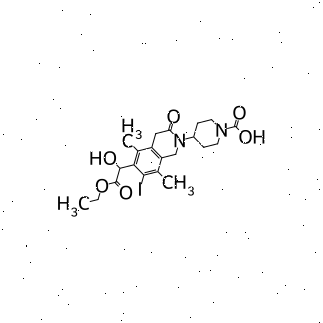 CCOC(=O)C(O)c1c(C)c2c(c(C)c1I)CN(C1CCN(C(=O)O)CC1)C(=O)C2